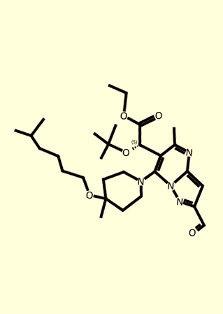 CCOC(=O)[C@@H](OC(C)(C)C)c1c(C)nc2cc(C=O)nn2c1N1CCC(C)(OCCCCC(C)C)CC1